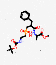 COC(=O)C(C)NC(=O)C(Cc1ccccc1)CP(=O)(O)CCNC(=O)OC(C)(C)C